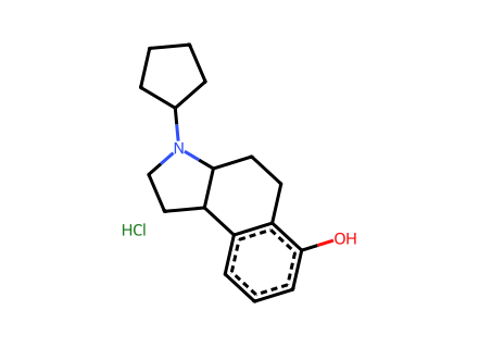 Cl.Oc1cccc2c1CCC1C2CCN1C1CCCC1